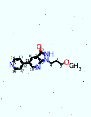 COCCCn1[nH]c(=O)c2cc(-c3ccncc3)cnc21